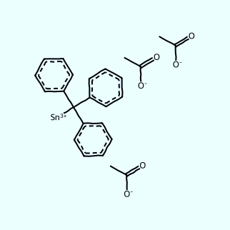 CC(=O)[O-].CC(=O)[O-].CC(=O)[O-].[Sn+3][C](c1ccccc1)(c1ccccc1)c1ccccc1